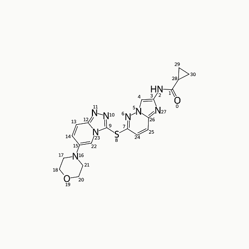 O=C(Nc1cn2nc(Sc3nnc4ccc(N5CCOCC5)cn34)ccc2n1)C1CC1